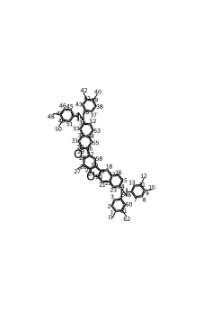 Cc1ccc(N(c2ccc(C)c(C)c2)c2ccc3cc4c(cc3c2)oc2c(C)c3oc5cc6cc(N(c7ccc(C)c(C)c7)c7ccc(C)c(C)c7)ccc6cc5c3cc24)cc1C